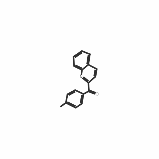 Cc1ccc(C(=O)c2ccc3ccccc3n2)cc1